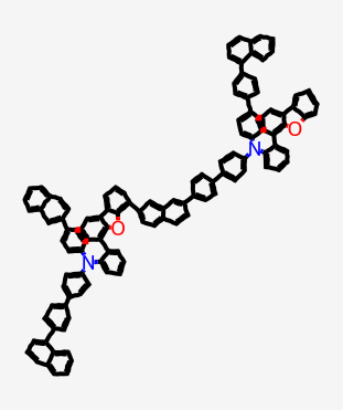 c1ccc(N(c2ccc(-c3ccc(-c4ccc5ccc(-c6cccc7c6oc6c(-c8ccccc8N(c8ccc(-c9ccc(-c%10cccc%11ccccc%10%11)cc9)cc8)c8ccc(-c9ccc%10ccccc%10c9)cc8)cccc67)cc5c4)cc3)cc2)c2ccc(-c3ccc(-c4cccc5ccccc45)cc3)cc2)c(-c2cccc3c2oc2ccccc23)c1